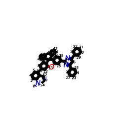 C=Nc1cccc(-c2ccc3c(c2)Oc2cc(-c4nc(-c5ccccc5)cc(-c5ccccc5)n4)ccc2C32c3ccccc3-c3ccccc32)c1/C=C\C